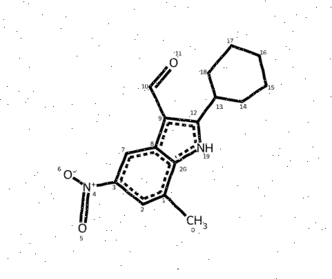 Cc1cc([N+](=O)[O-])cc2c(C=O)c(C3CCCCC3)[nH]c12